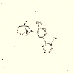 Nc1nnc(-c2ccccc2O)cc1N1CC2CC[C@H](C1)N2